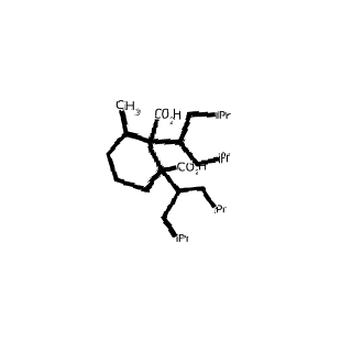 CC(C)CC(CC(C)C)C1(C(=O)O)CCCC(C)C1(C(=O)O)C(CC(C)C)CC(C)C